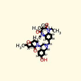 CCN1C(=O)C(C)(C)C(=O)N(C)c2cc(CN(CCn3ccc4oc(C)cc4c3=O)Cc3cccc(O)c3)ccc21